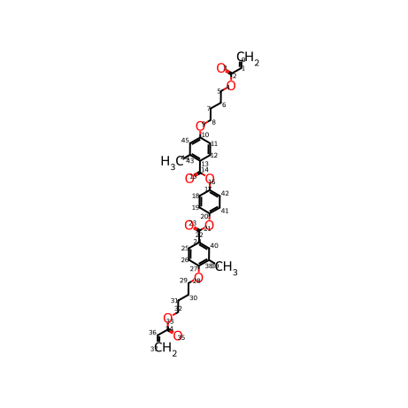 C=CC(=O)OCCCCOc1ccc(C(=O)Oc2ccc(OC(=O)c3ccc(OCCCCOC(=O)C=C)c(C)c3)cc2)c(C)c1